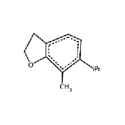 Cc1c(C(C)C)ccc2c1OCC2